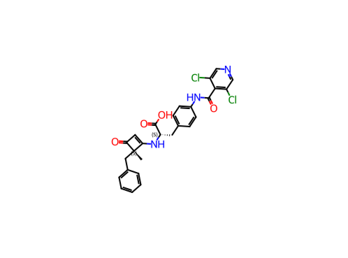 C[C@@]1(Cc2ccccc2)C(=O)C=C1N[C@@H](Cc1ccc(NC(=O)c2c(Cl)cncc2Cl)cc1)C(=O)O